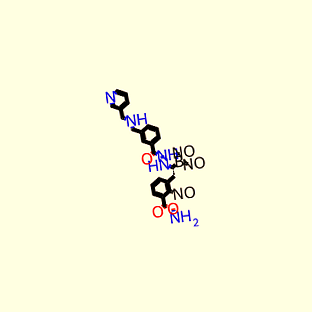 NOC(=O)c1cccc(C[C@H](NNC(=O)c2cccc(CNCc3cccnc3)c2)B(N=O)N=O)c1N=O